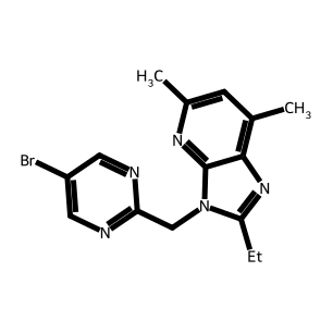 CCc1nc2c(C)cc(C)nc2n1Cc1ncc(Br)cn1